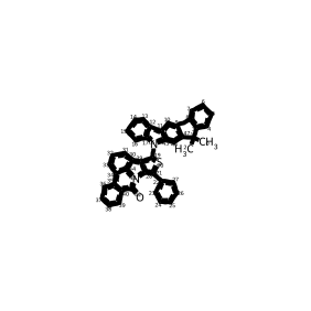 CC1(C)c2ccccc2-c2cc3c4ccccc4n(-c4sc(-c5ccccc5)c5c4c4cccc6c7ccccc7c(=O)n5c64)c3cc21